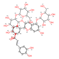 O=C(/C=C/c1ccc(O)c(O)c1)OCC1OC(Oc2cc3c(OC4OC(CO)C(O)C(O)C4O)cc(O)cc3[o+]c2-c2ccc(O)c(O)c2)C(OC2OC(CO)C(O)C(O)C2O)C(O)C1O